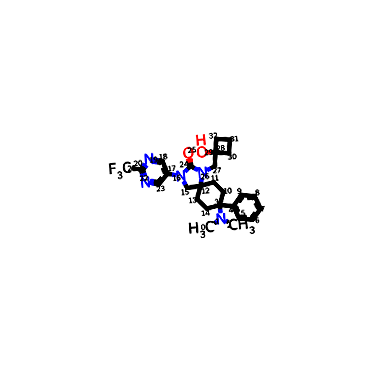 CN(C)C1(c2ccccc2)CCC2(CC1)CN(c1cnc(C(F)(F)F)nc1)C(=O)N2CC1(O)CCC1